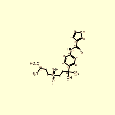 N=S(=O)(CC[C@H](N)C(=O)O)CCC(O)(c1ccc(NC(=O)c2ccsc2)cc1)C(F)(F)F